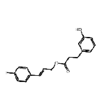 O=C(CCc1cccc(O)c1)OCC=Cc1ccc(I)cc1